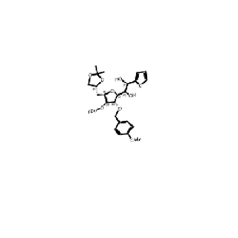 CCCCO[C@@H]1[C@@H](OCc2ccc(OC)cc2)[C@H]([C@H](O)[C@@H](O)c2ccco2)O[C@@H]1C[C@@H]1COC(C)(C)O1